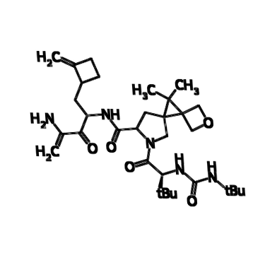 C=C(N)C(=O)C(CC1CCC1=C)NC(=O)C1CC2(CN1C(=O)[C@@H](NC(=O)NC(C)(C)C)C(C)(C)C)C(C)(C)C21COC1